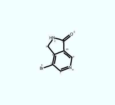 O=C1NCc2c(Br)cncc21